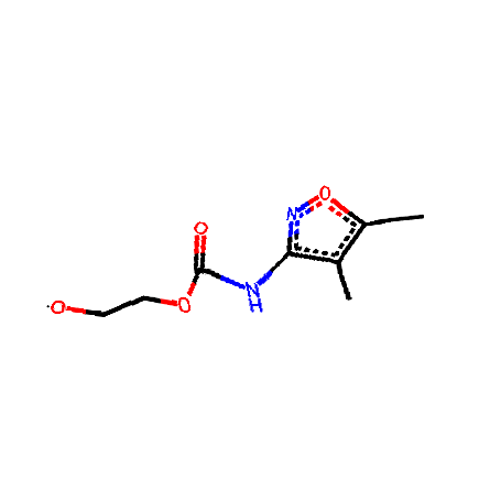 Cc1onc(NC(=O)OCC[O])c1C